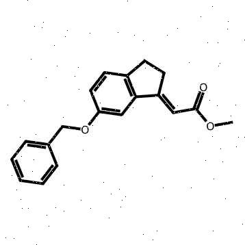 COC(=O)C=C1CCc2ccc(OCc3ccccc3)cc21